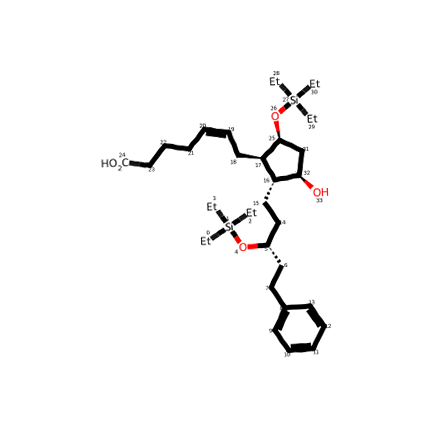 CC[Si](CC)(CC)O[C@@H](CCc1ccccc1)CC[C@@H]1[C@@H](C/C=C\CCCC(=O)O)[C@@H](O[Si](CC)(CC)CC)C[C@H]1O